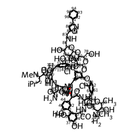 CN[C@H](CC(C)C)C(=O)N[C@H]1C(=O)N[C@@H](CC(N)=O)C(=O)N[C@H]2C(=O)N[C@H]3C(=O)N[C@H](C(=O)N[C@@H](C(=O)O)c4cc(O)cc(O)c4-c4cc3ccc4O)[C@H](OC3C[C@](C)(N)[C@@H](O)[C@H](C)O3)c3ccc(c(Cl)c3)Oc3cc2cc(c3O[C@@H]2O[C@H](CO)[C@@H](O[C@@H]3O[C@H](CNCc4cc(-c5ccccc5)no4)[C@H](O)[C@H](O)[C@H]3O)[C@H](O)[C@H]2O)Oc2ccc(cc2Cl)[C@H]1O